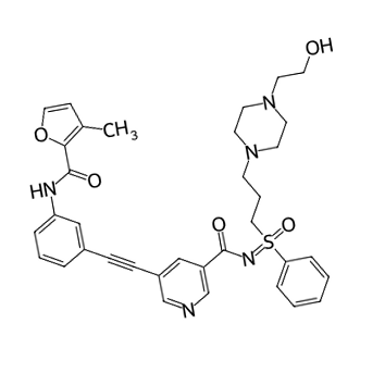 Cc1ccoc1C(=O)Nc1cccc(C#Cc2cncc(C(=O)N=S(=O)(CCCN3CCN(CCO)CC3)c3ccccc3)c2)c1